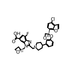 O=C(O)c1cc(F)c2nc(CN3CCC(c4cccc5c4OC[C@@H](c4ccc(Cl)c6ccoc46)O5)CC3)n(C[C@@H]3CCO3)c2c1